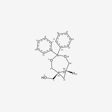 OC[C@@]12COC(c3ccccc3)(c3ccccc3)OC[C@@H]1C2